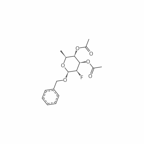 CC(=O)O[C@H]1[C@@H](F)[C@@H](OCc2ccccc2)O[C@@H](C)[C@H]1OC(C)=O